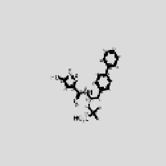 CC(C)(C[C@@H](Cc1ccc(-c2ccccc2)cc1)NC(=O)c1cc(O)no1)C(=O)O